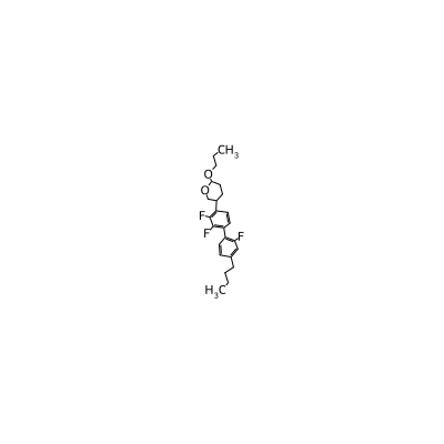 CCCCc1ccc(-c2ccc(C3CCC(OCCC)OC3)c(F)c2F)c(F)c1